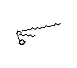 CCCCCCCCCCCCCCCCCN1C=CN(Cc2ccccc2)C1CCCCCC